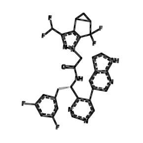 O=C(Cn1nc(C(F)F)c2c1C(F)(F)C1CC21)N[C@@H](Cc1cc(F)cc(F)c1)c1ncncc1-c1cnc2[nH]ccc2c1